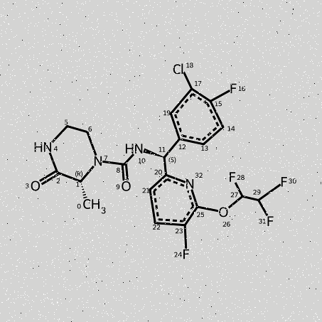 C[C@@H]1C(=O)NCCN1C(=O)N[C@@H](c1ccc(F)c(Cl)c1)c1ccc(F)c(OC(F)C(F)F)n1